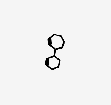 C1#C[C](C2C#CCCC2)CCCC1